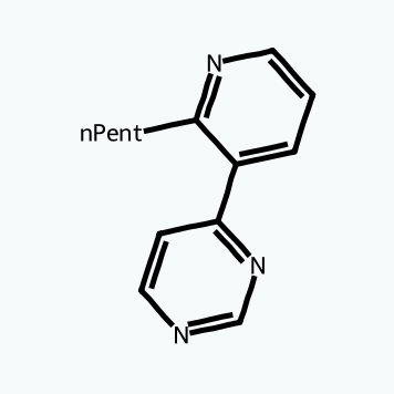 CCCCCc1ncccc1-c1ccncn1